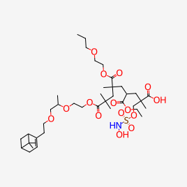 CCCOCCOC(=O)C(C)(CC(CC(C)(COS(=O)(=O)NO)C(=O)O)C(=O)OCC)CC(C)(C)C(=O)OCCOC(C)COCCC1=CCC2CC1C2(C)C